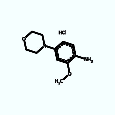 COc1cc(N2CCOCC2)ccc1N.Cl